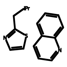 CC(C)Cc1nccs1.c1ccc2ncccc2c1